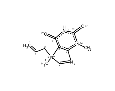 C=CC[N+]1(C)C=Nc2c1c(=O)[nH]c(=O)n2C